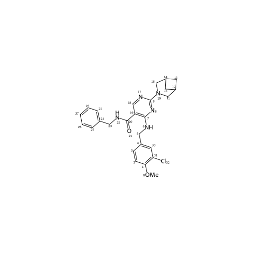 COc1ccc(CNc2nc(N3CC4CC(C4)C3)ncc2C(=O)NCc2ccccc2)cc1Cl